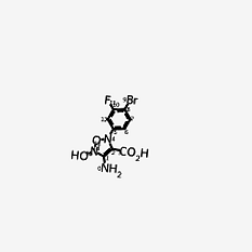 NC1=C(C(=O)O)N(c2ccc(Br)c(F)c2)ON1O